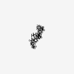 C=C(Nc1cccc(-c2ccnc(Nc3ccc(C(=C)N(C)C4CCCCC4)cc3)n2)c1C)c1ccc(C(C)(C)C)cc1